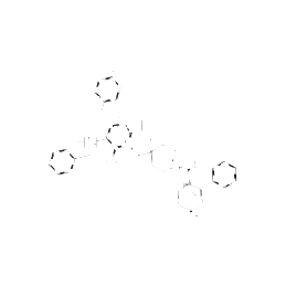 O=C([C@@H]1CCC(F)(F)C[C@H]1c1ccccc1)N1CCC(O)(Cn2cnc(Oc3ccc(F)cc3)c(NCc3ccccc3)c2=O)CC1